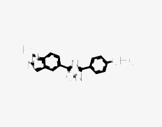 CC(C)n1ncc2cc(-c3nc(-c4ccc(C=O)cc4)no3)ccc21